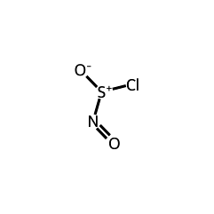 O=N[S+]([O-])Cl